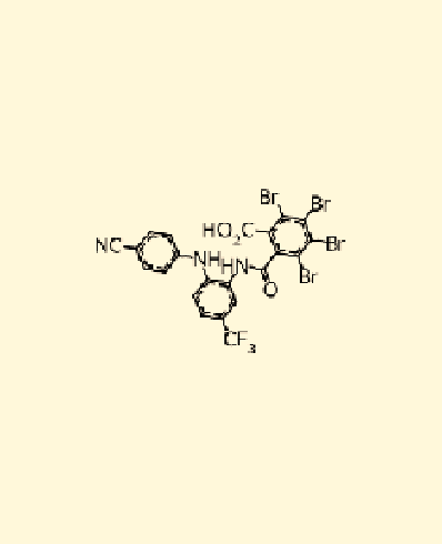 N#Cc1ccc(Nc2ccc(C(F)(F)F)cc2NC(=O)c2c(Br)c(Br)c(Br)c(Br)c2C(=O)O)cc1